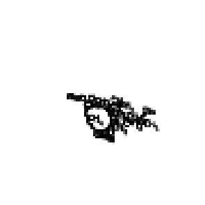 COc1cc2cc(c1Cl)N(C)C(=O)C[C@H](OC(=O)[C@H](C)N(C)C(=O)CCC(C)(C)SCC(=O)N(C)CCC(C)(C)C)[C@@]1(C)O[C@H]1[C@H](C)[C@@H]1C[C@@](O)(NC(=O)O1)[C@H](OC)/C=C/C=C(\C)C2